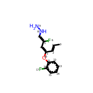 C/C=C/C(=C\C(F)=C\NN)Oc1ccccc1F